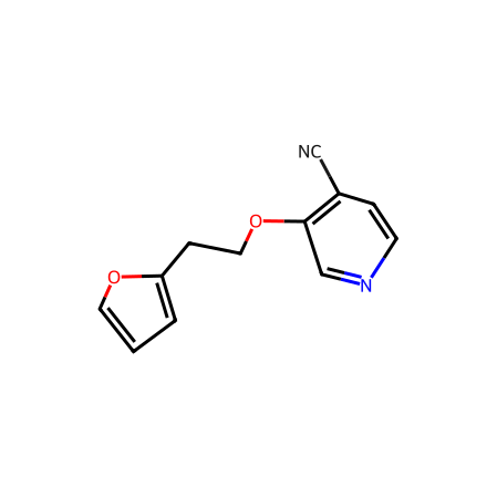 N#Cc1ccncc1OCCc1ccco1